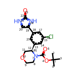 CC(C)(C)OC(=O)N1CCOC[C@H]1c1cc(Cl)cc(-c2c[nH]c(=O)[nH]2)c1